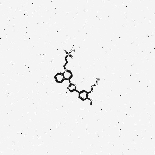 COc1ccc(-c2cnc(-c3cc[n+](CCCS(=O)(=O)O)c4ccccc34)o2)cc1SOOO